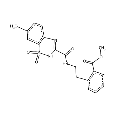 COC(=O)c1ccccc1CCNC(=O)C1=Nc2ccc(C)cc2S(=O)(=O)N1